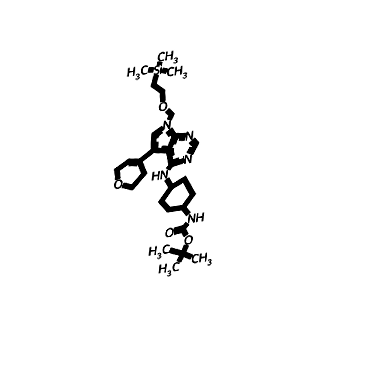 CC(C)(C)OC(=O)NC1CCC(Nc2ncnc3c2c(C2=CCOCC2)cn3COCC[Si](C)(C)C)CC1